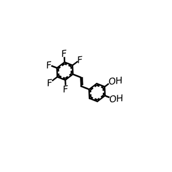 Oc1ccc(C=Cc2c(F)c(F)c(F)c(F)c2F)cc1O